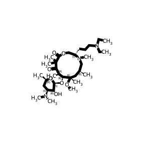 CCN(CC)CCC[C@H]1COC(=O)C(C)(C)C(=O)[C@H](C)[C@@H](O[C@@H]2O[C@H](C)C[C@H](N(C)C)[C@H]2O)[C@](C)(OC)C[C@@H](C)CN1C